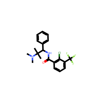 CN(C)C(C)(C)C(NC(=O)c1cccc(C(F)(F)F)c1Cl)c1ccccc1